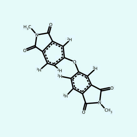 [2H]c1c([2H])c2c(c([2H])c1Oc1c([2H])c([2H])c3c(c1[2H])C(=O)N(C)C3=O)C(=O)N(C)C2=O